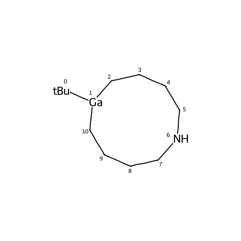 C[C](C)(C)[Ga]1[CH2]CCCNCCC[CH2]1